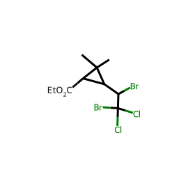 CCOC(=O)C1C(C(Br)C(Cl)(Cl)Br)C1(C)C